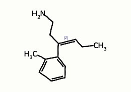 CC/C=C(/CCN)c1ccccc1C